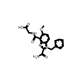 COc1ccc2c(nc(C(N)=O)n2Cc2ccccc2)c1C(=O)NCC(=O)O